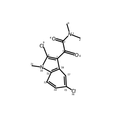 CN(C)C(=O)C(=O)c1c(Cl)n(C)c2ccc(Cl)cc12